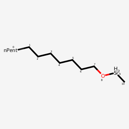 CCCCCCCCCCCCO[SiH2]C